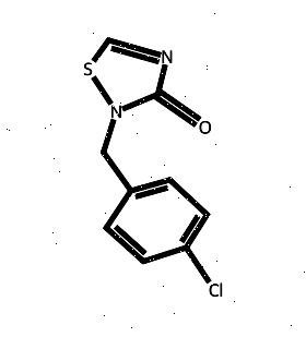 O=c1ncsn1Cc1ccc(Cl)cc1